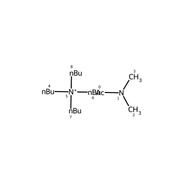 CC(=O)N(C)C.CCCC[N+](CCCC)(CCCC)CCCC